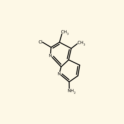 Cc1c(Cl)nc2nc(N)ccc2c1C